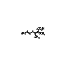 CCC/C=C/C/C(C)=C(/C)C(=O)O